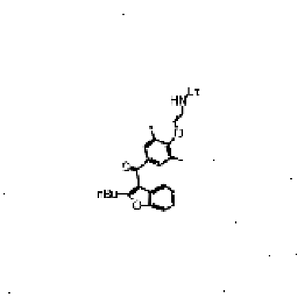 CCCCc1oc2ccccc2c1C(=O)c1cc(C)c(OCCNCC)c(C)c1